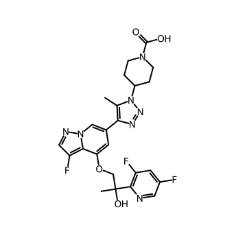 Cc1c(-c2cc(OCC(C)(O)c3ncc(F)cc3F)c3c(F)cnn3c2)nnn1C1CCN(C(=O)O)CC1